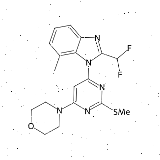 CSc1nc(N2CCOCC2)cc(-n2c(C(F)F)nc3cccc(C)c32)n1